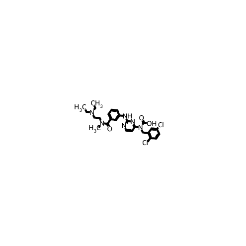 CCN(CC)CCN(C)C(=O)c1cccc(Nc2nccc(N(Cc3cc(Cl)ccc3Cl)C(=O)O)n2)c1